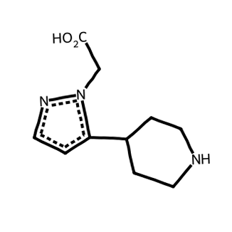 O=C(O)Cn1nccc1C1CCNCC1